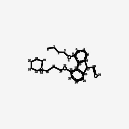 CCCCOc1cccc2c1-c1c(OCCCN3CCCCC3)cccc1C2C=O